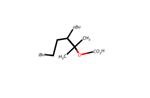 CCCCC(CCC(C)CC)C(C)(C)OC(=O)O